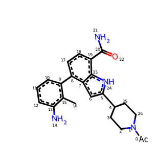 CC(=O)N1CCC(c2cc3c(-c4cccc(N)c4C)ccc(C(N)=O)c3[nH]2)CC1